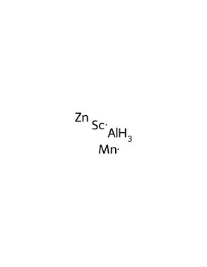 [AlH3].[Mn].[Sc].[Zn]